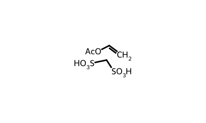 C=COC(C)=O.O=S(=O)(O)CS(=O)(=O)O